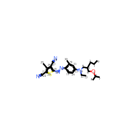 CCCC(COC(C)C)CN(CC)c1ccc(/N=N/c2sc(C#N)c(C)c2C#N)c(C)c1